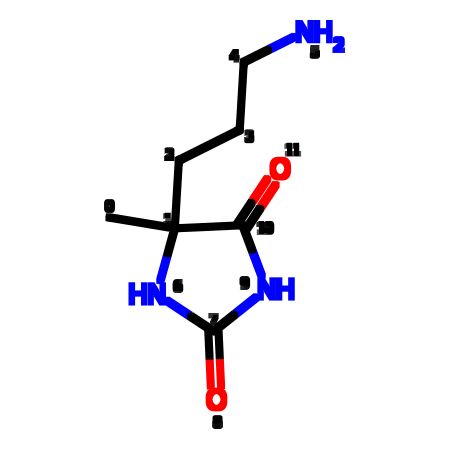 CC1(CCCN)NC(=O)NC1=O